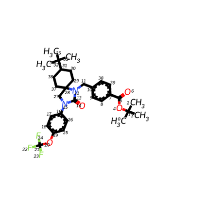 CC(C)(C)OC(=O)c1ccc(CN2C(=O)N(c3ccc(OC(F)(F)F)cc3)CC23CCC(C(C)(C)C)CC3)cc1